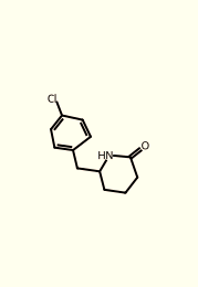 O=C1CCCC(Cc2ccc(Cl)cc2)N1